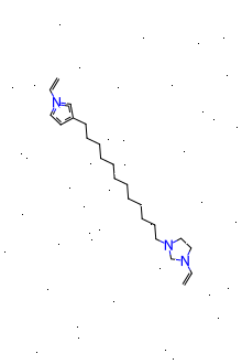 C=CN1CCN(CCCCCCCCCCCCc2ccn(C=C)c2)C1